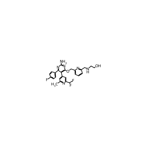 Cc1cc(-c2c(OCc3cccc(CNCCO)n3)nc(N)nc2-c2ccc(F)cc2)cc(C(F)F)n1